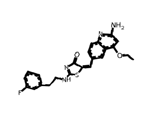 CCOc1cc(N)nc2ccc(C=C3SC(NCCc4cccc(F)c4)=NC3=O)cc12